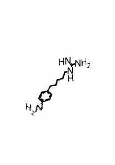 N=C(N)NCCCCCc1ccc(N)cc1